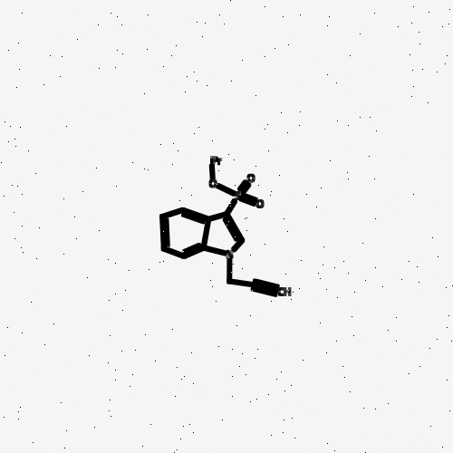 C#CCn1cc(S(=O)(=O)OC(C)C)c2ccccc21